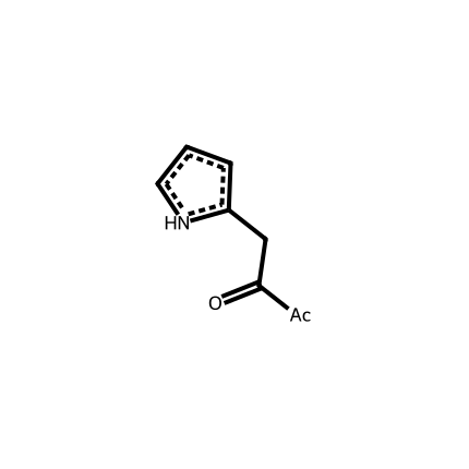 CC(=O)C(=O)Cc1ccc[nH]1